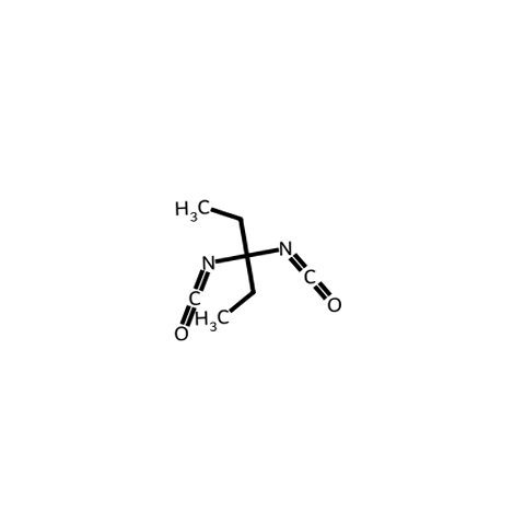 CCC(CC)(N=C=O)N=C=O